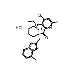 CCOc1c(Cl)cc(C)nc1C(=O)[C@@]1(Cc2cn3cccc(C)c3n2)CCCCN1.Cl